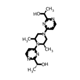 CC1CN(c2ccnc([C@H](C)O)n2)C[C@@H](C)N1c1ccnc([C@@H](C)O)n1